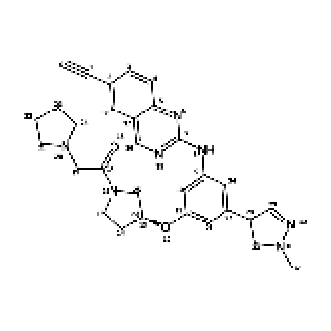 C#Cc1ccc2nc(Nc3cc(O[C@H]4CCN(C(=O)CN5CCCC5)C4)cc(C4C=NN(C)C4)c3)ncc2c1